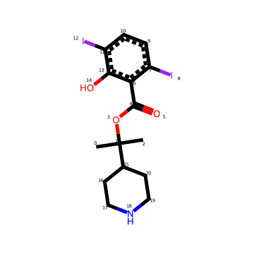 CC(C)(OC(=O)c1c(I)ccc(I)c1O)C1CCNCC1